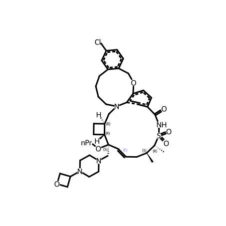 CCCO[C@]1(CN2CCN(C3COC3)CC2)/C=C/C[C@H](C)[C@@H](C)S(=O)(=O)NC(=O)c2ccc3c(c2)N(CCCCc2cc(Cl)ccc2CO3)C[C@@H]2CC[C@H]21